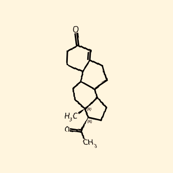 CC(=O)[C@@H]1CCC2C3CCC4=CC(=O)CCC4C3CC[C@]21C